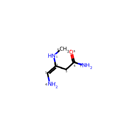 CN/C(=C/N)CC(N)=O